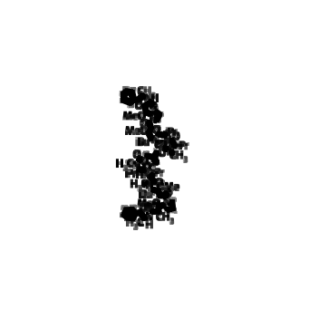 C/C=C(/COC(=O)N(C)[C@H](C(=O)NC(C(=O)N(C)C([C@@H](C)CC)[C@@H](CC(=O)N1CCC[C@H]1[C@H](OC)[C@H]1OC(c2ccccc2)[C@@H](C)NC1=O)OC)C(C)C)C(C)C)COC(=O)N(C)[C@H](C(=O)NC(C(=O)N(C)[C@@H]([C@@H](C)CC)[C@@H](CC(=O)N1CCC[C@H]1[C@H](OC)[C@@H](C)C(=O)N[C@H](C)[C@@H](O)c1ccccc1)OC)C(C)C)C(C)C